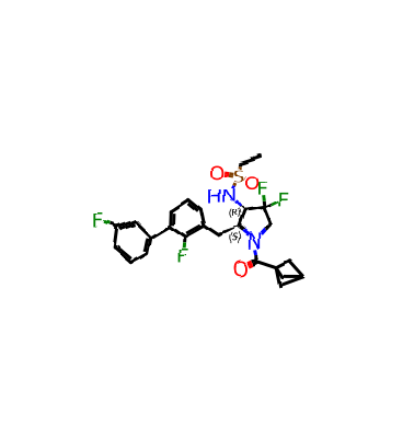 CCS(=O)(=O)N[C@@H]1[C@H](Cc2cccc(-c3cccc(F)c3)c2F)N(C(=O)C23CC(C2)C3)CC1(F)F